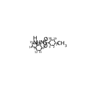 Cc1ccc(S(=O)(=O)Nc2cccc3cc[nH]c23)cc1